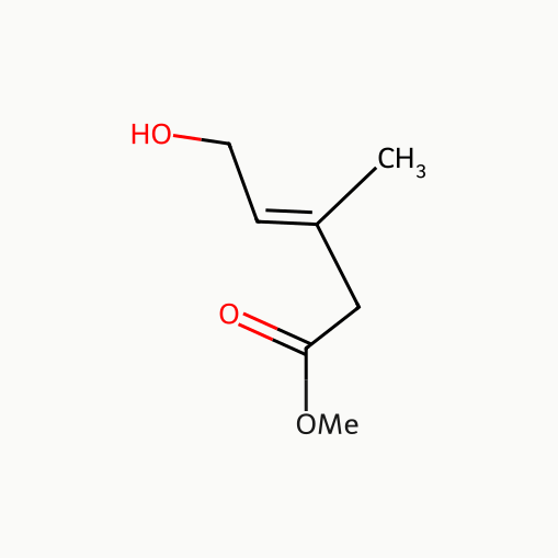 COC(=O)CC(C)=CCO